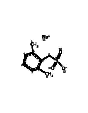 Cc1cccc(C)c1CS(=O)(=O)[O-].[Na+]